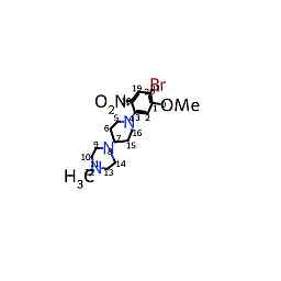 COc1cc(N2CCC(N3CCN(C)CC3)CC2)c([N+](=O)[O-])cc1Br